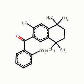 Cc1cc2c(cc1C(=O)c1ccccc1C(=O)O)C(C)(C)CCC2(C)C